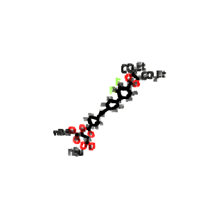 CCCCOC(=O)[C@@H]1OC(c2ccc(C#Cc3ccc(-c4ccc(C5O[C@@H](C(=O)OCC)[C@H](C(=O)OCC)O5)c(F)c4F)cc3)cc2)O[C@H]1C(=O)OCCCC